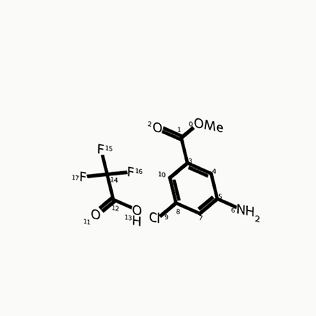 COC(=O)c1cc(N)cc(Cl)c1.O=C(O)C(F)(F)F